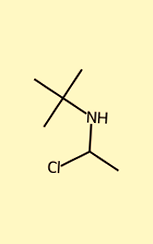 CC(Cl)NC(C)(C)C